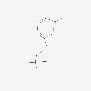 FC(F)(F)COc1cncc(Cl)n1